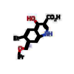 CCc1cc2c(c/c1=C/OC(C)C)NC=C(C(=O)O)C=2O